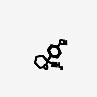 N#Cc1ccc(C2([SiH3])CCCCO2)cc1